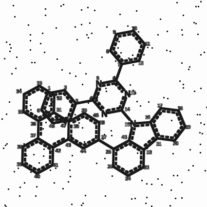 c1ccc(-c2nc(-c3ccccc3)nc(-n3c4ccccc4c4cccc(-c5ccc6c7ccccc7c7ccccc7c6c5)c43)n2)cc1